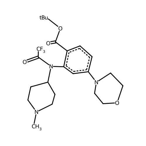 CN1CCC(N(C(=O)C(F)(F)F)c2cc(N3CCOCC3)ccc2C(=O)OC(C)(C)C)CC1